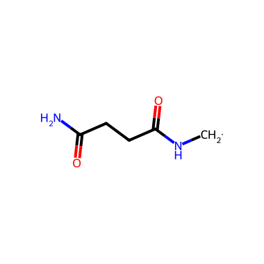 [CH2]NC(=O)CCC(N)=O